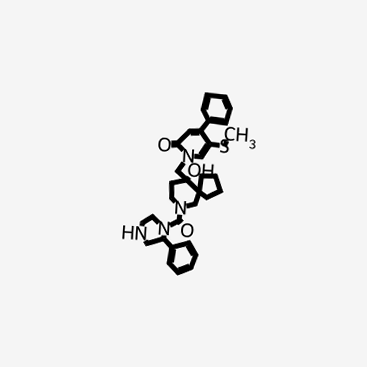 CSc1cn(CC2(O)CCN(C(=O)N3CCNCC3c3ccccc3)CC23CCCC3)c(=O)cc1-c1ccccc1